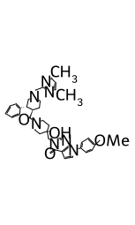 COc1ccc(-n2ccc3c(=O)n(CC4(O)CCN(C(=O)[C@@H]5CCN(Cc6nc(C)cc(C)n6)C[C@H]5c5ccccc5)CC4)cnc32)cc1